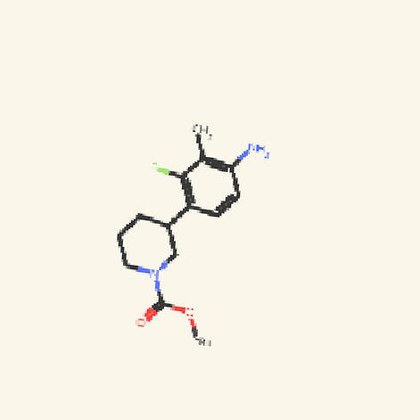 Cc1c(N)ccc(C2CCCN(C(=O)OC(C)(C)C)C2)c1F